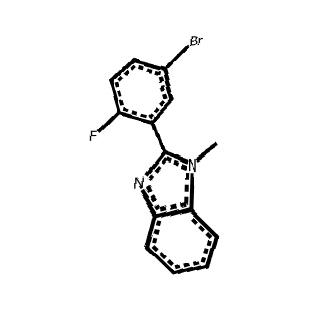 Cn1c(-c2cc(Br)ccc2F)nc2ccccc21